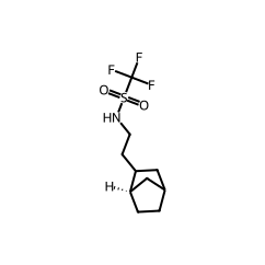 O=S(=O)(NCCC1CC2CC[C@@H]1C2)C(F)(F)F